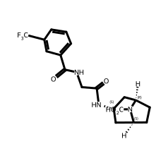 O=C(CNC(=O)c1cccc(C(F)(F)F)c1)N[C@@H]1C[C@H]2CC[C@@H](C1)N2C(=O)O